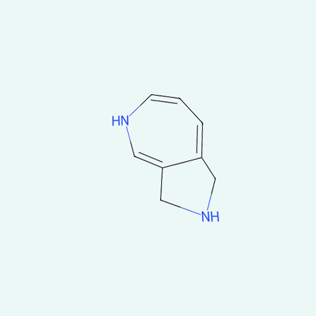 C1=CNC=C2CNCC2=C1